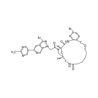 CC(=O)c1nn(CC(=O)N2C[C@@]3(F)CNC(=O)CCCCCOCc4ccc(Br)nc4NC(=O)[C@@H]2C3)c2cnc(-c3cnc(C)nc3)cc12